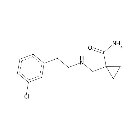 NC(=O)C1(CNC[CH]c2cccc(Cl)c2)CC1